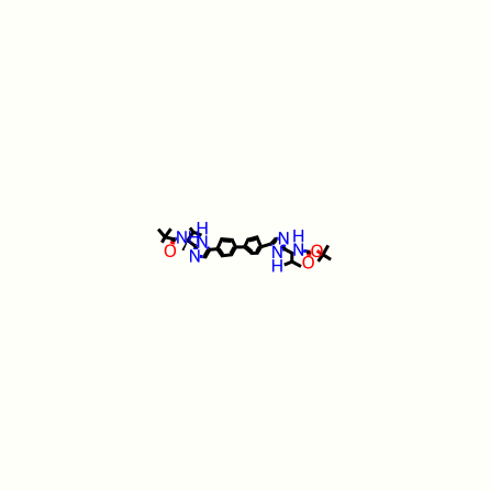 CC(C)[C@H](NC(=O)OC(C)(C)C)c1ncc(-c2ccc(-c3ccc(-c4cnc([C@](C)(NC(=O)C(C)(C)C)C(C)C)[nH]4)cc3)cc2)[nH]1